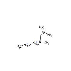 C/C=C/N=C/N(C)C[C@H](C)N